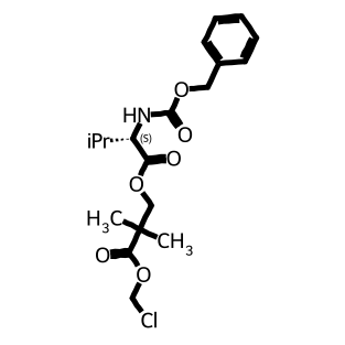 CC(C)[C@H](NC(=O)OCc1ccccc1)C(=O)OCC(C)(C)C(=O)OCCl